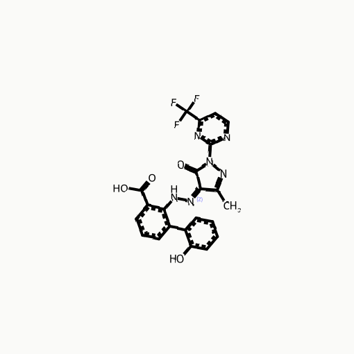 CC1=NN(c2nccc(C(F)(F)F)n2)C(=O)/C1=N\Nc1c(C(=O)O)cccc1-c1ccccc1O